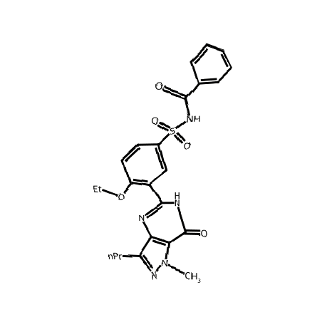 CCCc1nn(C)c2c(=O)[nH]c(-c3cc(S(=O)(=O)NC(=O)c4ccccc4)ccc3OCC)nc12